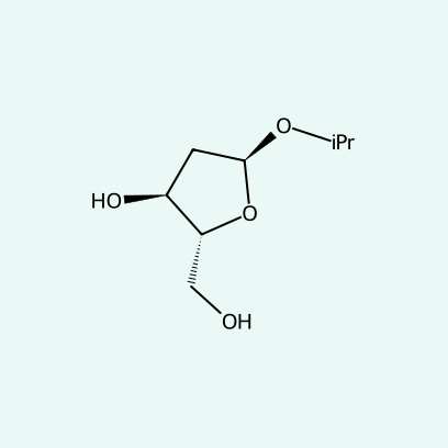 CC(C)O[C@@H]1C[C@H](O)[C@@H](CO)O1